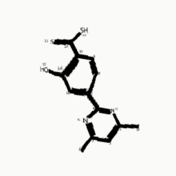 Cc1cc(C)nc(-c2ccc(C(=S)S)c(O)c2)n1